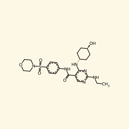 CCNc1ncc(C(=O)Nc2ccc(S(=O)(=O)N3CCOCC3)cc2)c(N[C@H]2CC[C@H](O)CC2)n1